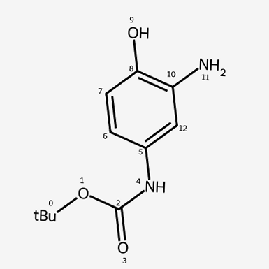 CC(C)(C)OC(=O)Nc1ccc(O)c(N)c1